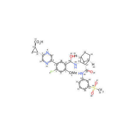 COc1cc(F)c(-c2cnc([C@@H]3C[C@H]3C(=O)O)cn2)cc1C(O)N[C@@H]1[C@H]2CC[C@H](C2)[C@@H]1C(=O)Nc1cccc(S(=O)(=O)C(F)(F)F)c1